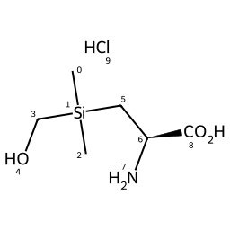 C[Si](C)(CO)C[C@H](N)C(=O)O.Cl